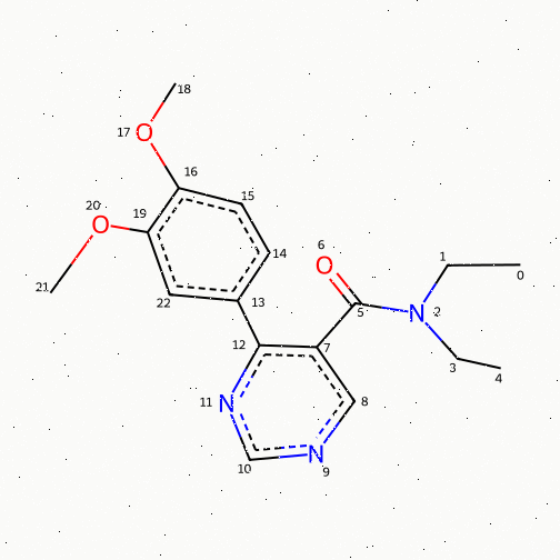 CCN(CC)C(=O)c1cncnc1-c1ccc(OC)c(OC)c1